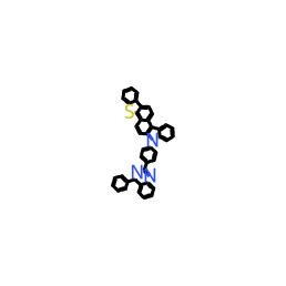 c1ccc(-c2nc(-c3ccc(-n4c5ccccc5c5c6ccc7c8ccccc8sc7c6ccc54)cc3)nc3ccccc23)cc1